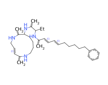 C=C1/C=C/CNC(=C)C(NC(=C)C(CC)NC(=C)/C=C/C=C/CCCCCc2ccccc2)CCCCN1